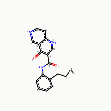 CCCc1ccccc1NC(=O)c1c[nH]c2ccncc2c1=O